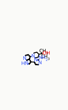 CC(C)(O)C1CCN(c2ccnc3[nH]cc(-c4ccnc(N)n4)c23)CC1